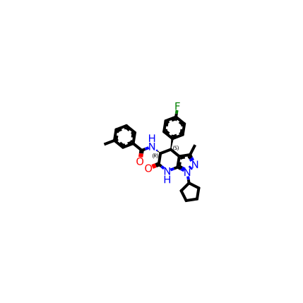 Cc1cccc(C(=O)N[C@H]2C(=O)Nc3c(c(C)nn3C3CCCC3)[C@@H]2c2ccc(F)cc2)c1